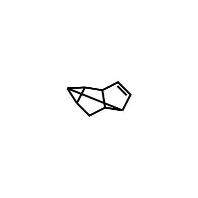 C1=CC2C3CC4C(C13)C24